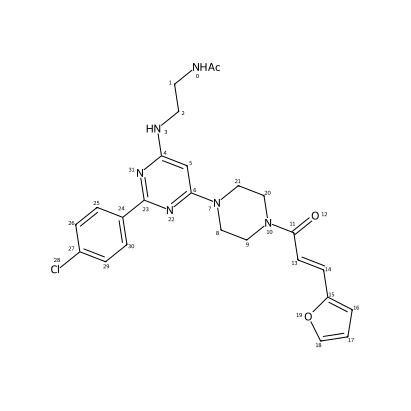 CC(=O)NCCNc1cc(N2CCN(C(=O)C=Cc3ccco3)CC2)nc(-c2ccc(Cl)cc2)n1